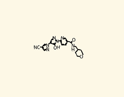 N#Cc1cnn(-c2cnn(-c3ccc(C(=O)NCC4CCOCC4)cn3)c2O)c1